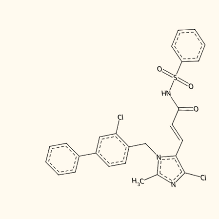 Cc1nc(Cl)c(C=CC(=O)NS(=O)(=O)c2ccccc2)n1Cc1ccc(-c2ccccc2)cc1Cl